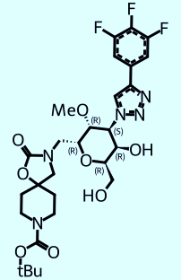 CO[C@@H]1[C@@H](n2cc(-c3cc(F)c(F)c(F)c3)nn2)[C@@H](O)[C@@H](CO)O[C@@H]1CN1CC2(CCN(C(=O)OC(C)(C)C)CC2)OC1=O